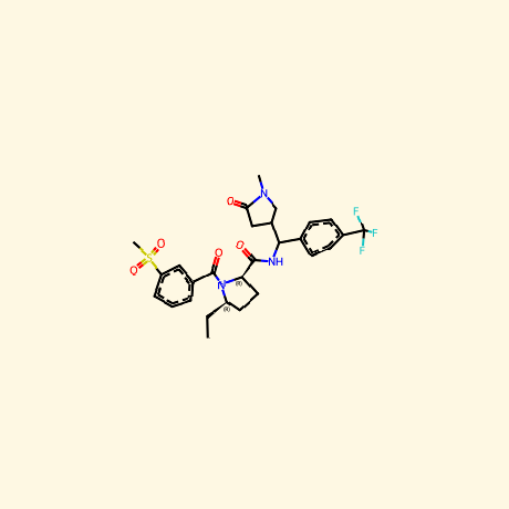 CC[C@@H]1CC[C@H](C(=O)NC(c2ccc(C(F)(F)F)cc2)C2CC(=O)N(C)C2)N1C(=O)c1cccc(S(C)(=O)=O)c1